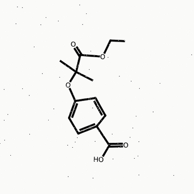 CCOC(=O)C(C)(C)Oc1ccc(C(=O)O)cc1